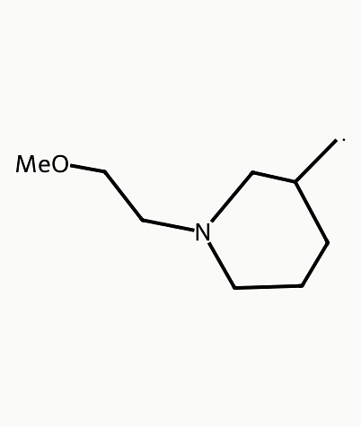 [CH2]C1CCCN(CCOC)C1